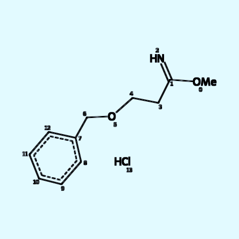 COC(=N)CCOCc1ccccc1.Cl